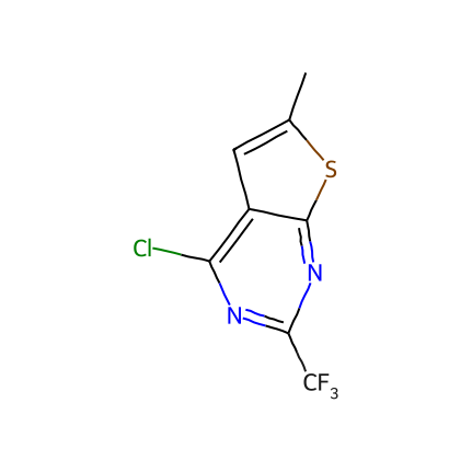 Cc1cc2c(Cl)nc(C(F)(F)F)nc2s1